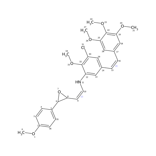 COc1ccc(C2OC2/C=C\Nc2cc(/C=C\c3cc(OC)c(OC)c(OC)c3)cc(Cl)c2OC)cc1